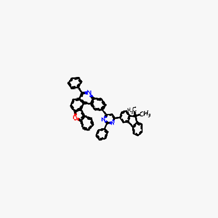 CC1(C)c2ccccc2-c2cc(-c3cc(-c4ccc5nc(-c6ccccc6)c6ccc7oc8ccccc8c7c6c5c4)nc(-c4ccccc4)n3)ccc21